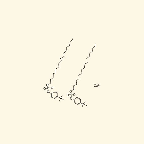 CCCCCCCCCCCCCCCCCCOP(=O)([O-])Oc1ccc(C(C)(C)C)cc1.CCCCCCCCCCCCCCCCCCOP(=O)([O-])Oc1ccc(C(C)(C)C)cc1.[Ca+2]